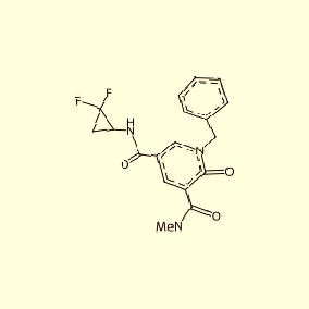 CNC(=O)c1cc(C(=O)NC2CC2(F)F)cn(Cc2ccccc2)c1=O